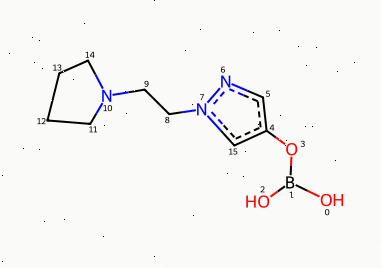 OB(O)Oc1cnn(CCN2CCCC2)c1